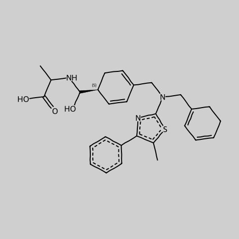 Cc1sc(N(CC2=CC[C@H](C(O)NC(C)C(=O)O)C=C2)CC2=CC=CCC2)nc1-c1ccccc1